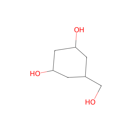 OCC1CC(O)CC(O)C1